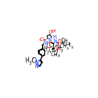 Cn1nccc1-c1ccc(CNC(=O)[C@@H]2C[C@@H](O)CN2C(=O)[C@@H](NC(=O)OC(C)(C)C)C(C)(C)C)cc1